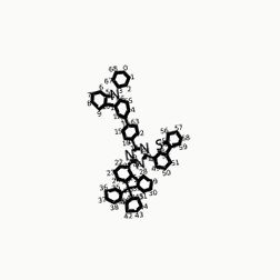 c1ccc(-n2c3ccccc3c3cc(-c4ccc(-c5nc(-c6cccc7c6-c6ccccc6C7(c6ccccc6)c6ccccc6)nc(-c6cccc7c6sc6ccccc67)n5)cc4)ccc32)cc1